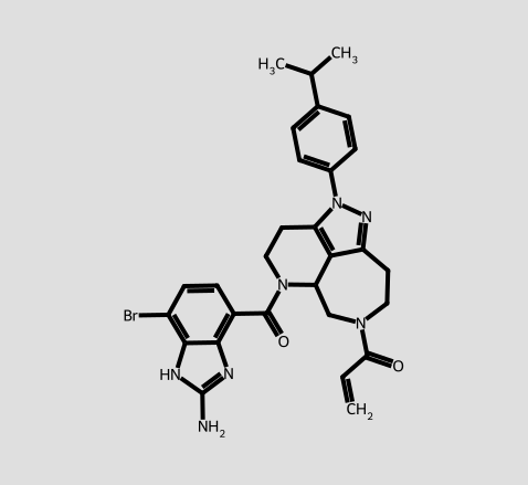 C=CC(=O)N1CCc2nn(-c3ccc(C(C)C)cc3)c3c2C(C1)N(C(=O)c1ccc(Br)c2[nH]c(N)nc12)CC3